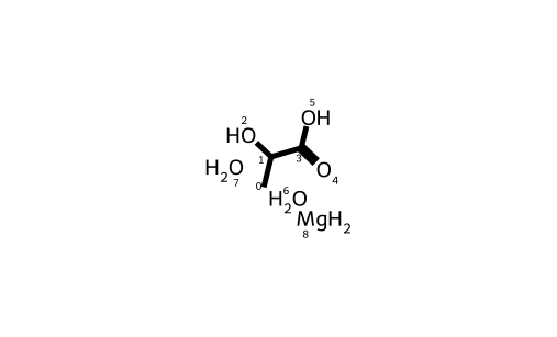 CC(O)C(=O)O.O.O.[MgH2]